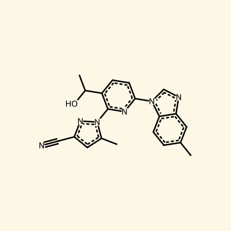 Cc1ccc2c(c1)ncn2-c1ccc(C(C)O)c(-n2nc(C#N)cc2C)n1